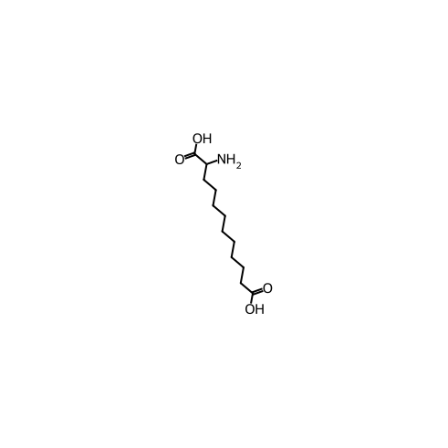 NC(CCCCCCCCCC(=O)O)C(=O)O